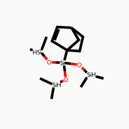 C[SiH](C)O[Si](O[SiH](C)C)(O[SiH](C)C)C12C=CC(CC1)C2